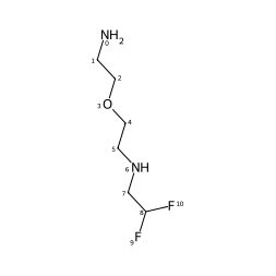 NCCOCCNCC(F)F